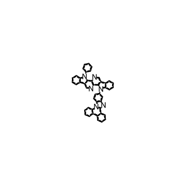 c1ccc(-n2c3ccccc3c3cnc4c(ncc5c6ccccc6n(-c6ccc7c(c6)nc6c8ccccc8c8ccccc8n76)c54)c32)cc1